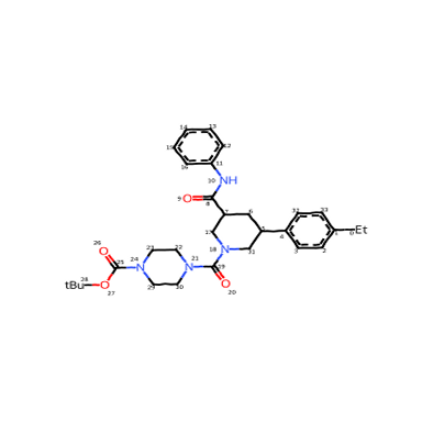 CCc1ccc(C2CC(C(=O)Nc3ccccc3)CN(C(=O)N3CCN(C(=O)OC(C)(C)C)CC3)C2)cc1